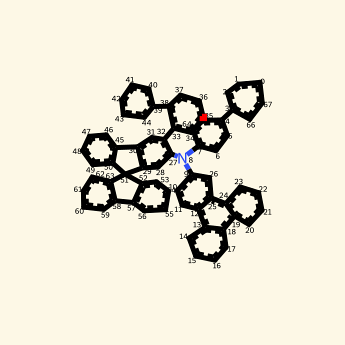 c1ccc(-c2ccc(N(c3ccc4c5ccccc5c5ccccc5c4c3)c3cc4c(cc3-c3ccccc3-c3ccccc3)-c3ccccc3C43c4ccccc4-c4ccccc43)cc2)cc1